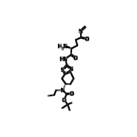 C=NC(=O)CC[C@H](N)C(=O)Nc1nc2c(s1)C[C@@H](N(CCC)C(=O)OC(C)(C)C)CC2